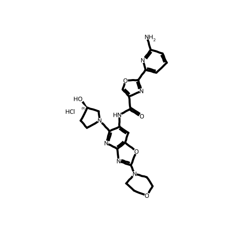 Cl.Nc1cccc(-c2nc(C(=O)Nc3cc4oc(N5CCOCC5)nc4nc3N3CC[C@@H](O)C3)co2)n1